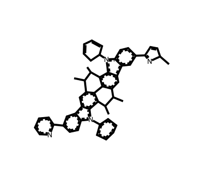 CC1C=CC(c2ccc3c(c2)c2cc4c5c(c2n3C2C=CC=CC2)C(C)C(C)c2cc3c6cc(-c7ccccn7)ccc6n(-c6ccccc6)c3c(c2-5)C(C)C4C)=N1